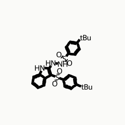 CC(C)(C)c1ccc(S(=O)(=O)NNc2[nH]c3ccccc3c2S(=O)(=O)c2ccc(C(C)(C)C)cc2)cc1